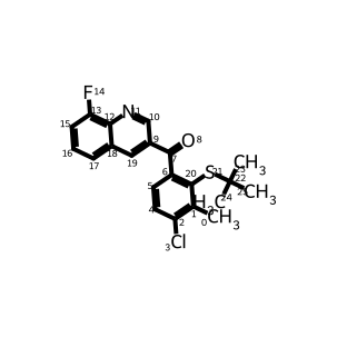 Cc1c(Cl)ccc(C(=O)c2cnc3c(F)cccc3c2)c1SC(C)(C)C